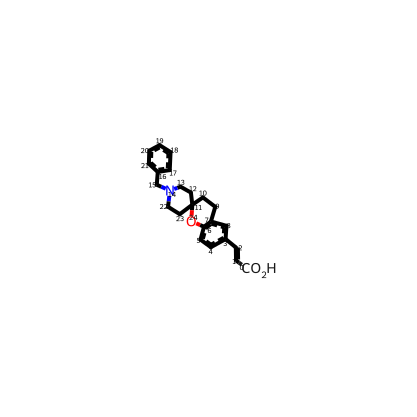 O=C(O)/C=C/c1ccc2c(c1)CCC1(CCN(Cc3ccccc3)CC1)O2